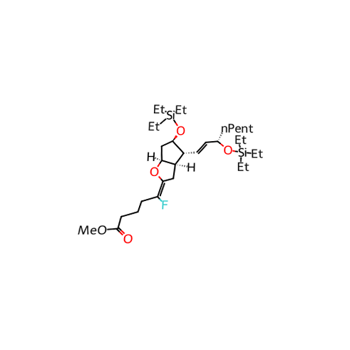 CCCCC[C@@H](/C=C/[C@@H]1[C@H]2C/C(=C(\F)CCCC(=O)OC)O[C@H]2C[C@H]1O[Si](CC)(CC)CC)O[Si](CC)(CC)CC